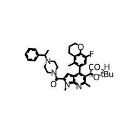 Cc1nc2c(cc(C(=O)N3CCN(C(C)c4ccccc4)CC3)n2C)c(-c2cc(F)c3c(c2C)CCCO3)c1[C@H](OC(C)(C)C)C(=O)O